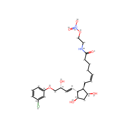 O=C(CCC/C=C\C[C@@H]1[C@@H](/C=C/[C@@H](O)COc2cccc(Cl)c2)[C@H](O)C[C@@H]1O)NCCO[N+](=O)[O-]